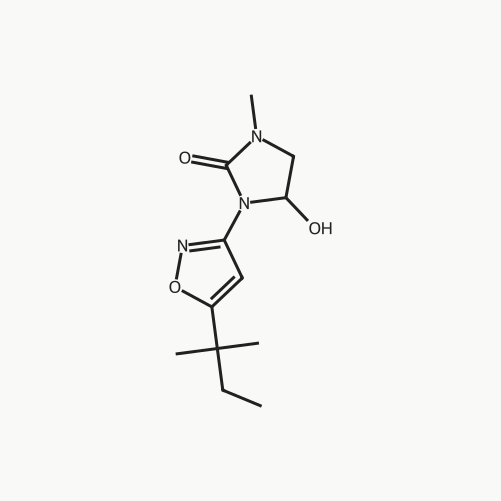 CCC(C)(C)c1cc(N2C(=O)N(C)CC2O)no1